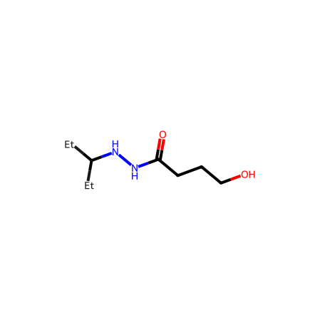 CCC(CC)NNC(=O)CCCO